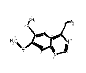 COc1cc2ncnc(CBr)c2cc1OC